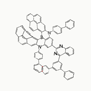 c1ccc(-c2ccc(N3c4cc(-c5nc(-c6cc(-c7ccccc7)cc(-c7ccccc7)c6)c6ccccc6n5)cc5c4B(c4c3cc3ccc6cccc7ccc4c3c67)c3c(cc4ccc6cccc7ccc3c4c67)N5c3ccc(-c4ccccc4)cc3)cc2)cc1